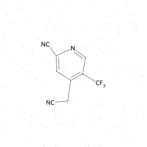 N#CCc1cc(C#N)ncc1C(F)(F)F